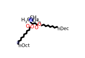 CCCCCCCC/C=C\CCCCCCCC(=O)OC(CC(=O)OCCCCCCCCCCCCCCCCCC)C[N+](C)(C)C